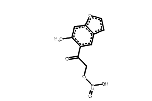 Cc1cc2occc2cc1C(=O)CO[PH](=O)O